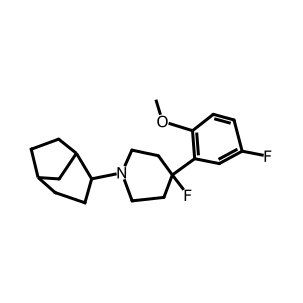 COc1ccc(F)cc1C1(F)CCN(C2CCC3CCC2C3)CC1